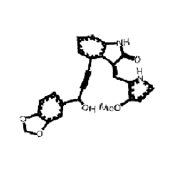 COc1cc[nH]c1C=C1C(=O)Nc2cccc(C#CC(O)c3ccc4c(c3)OCO4)c21